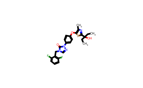 CCC(O)(CC)c1nc(C)c(Oc2ccc(-n3ncn(Cc4c(F)cccc4F)c3=O)cc2)s1